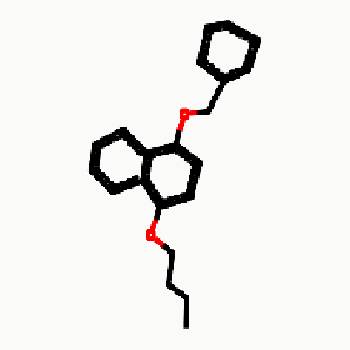 CCCCOc1ccc(OCc2ccccc2)c2ccccc12